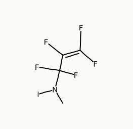 CN(I)C(F)(F)C(F)=C(F)F